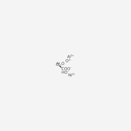 O.O=C([O-])[O-].[Al+3].[Ni+2].[O-2].[OH-]